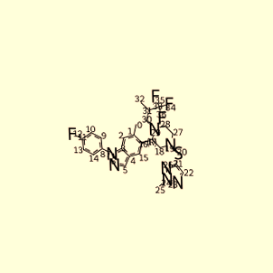 Cc1cc2c(cnn2-c2ccc(F)cc2)cc1[C@@H]1CN(Sc2cnn(C)n2)CCN1CC(C)C(F)(F)F